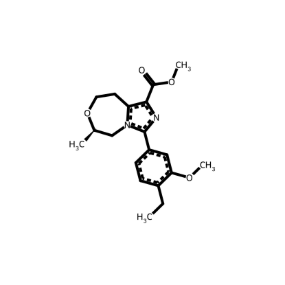 CCc1ccc(-c2nc(C(=O)OC)c3n2C[C@@H](C)OCC3)cc1OC